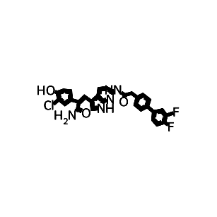 NC(=O)C(=Cc1c[nH]c2nc(NC(=O)Cc3ccc(-c4ccc(F)c(F)c4)cc3)ccc12)c1ccc(O)c(Cl)c1